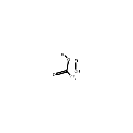 CCO.CCOC(=O)C(F)(F)F